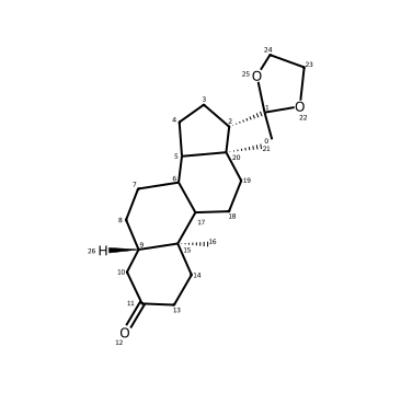 CC1([C@H]2CCC3C4CC[C@H]5CC(=O)CC[C@]5(C)C4CC[C@@]32C)OCCO1